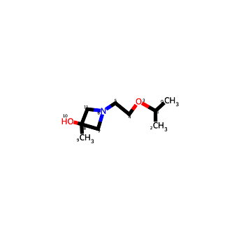 CC(C)OCCN1CC(C)(O)C1